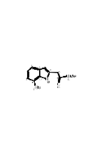 CCC(C)c1cccc2cc(CC(=O)OC)oc12